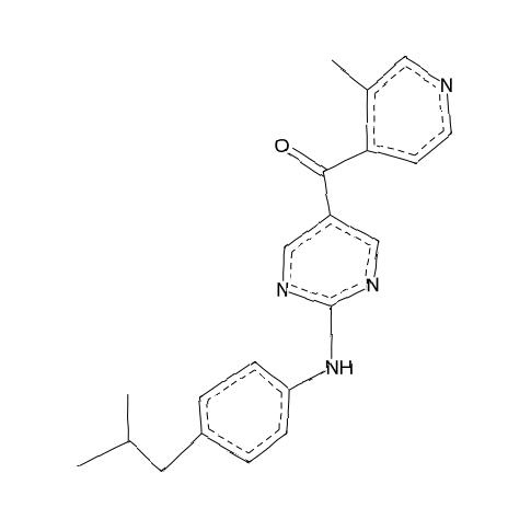 Cc1cnccc1C(=O)c1cnc(Nc2ccc(CC(C)C)cc2)nc1